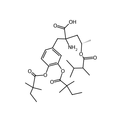 CCC(C)(C)C(=O)Oc1ccc(CC(N)(C[C@H](C)OC(=O)C(C)C(C)C)C(=O)O)cc1OC(=O)C(C)(C)CC